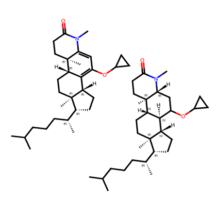 CC(C)CCC[C@@H](C)[C@H]1CC[C@H]2C3=C(OC4CC4)C=C4N(C)C(=O)CC[C@]4(C)[C@H]3CC[C@]12C.CC(C)CCC[C@@H](C)[C@H]1CC[C@H]2[C@@H]3C(OC4CC4)C[C@H]4N(C)C(=O)CC[C@]4(C)[C@H]3CC[C@]12C